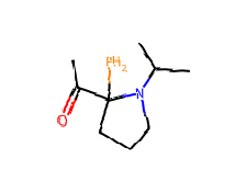 CC(=O)C1(P)CCCN1C(C)C